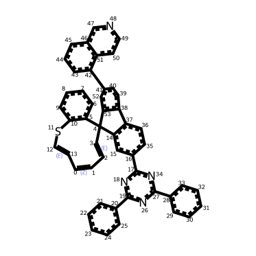 C1=C\C=C\C2(c3ccccc3S/C=C/1)c1cc(-c3nc(-c4ccccc4)nc(-c4ccccc4)n3)ccc1-c1ccc(-c3cccc4cnccc34)cc12